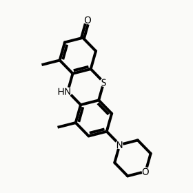 CC1=CC(=O)CC2=C1Nc1c(C)cc(N3CCOCC3)cc1S2